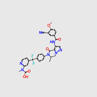 COc1ccc(C(=O)Nc2cnn3c2C(=O)N(c2ccc(C(F)(F)c4ccnc(N(C)C(=O)O)c4)cc2)C(C)C3)cc1C#N